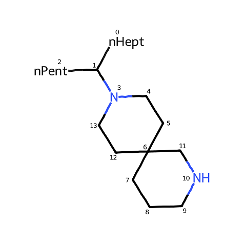 CCCCCCCC(CCCCC)N1CCC2(CCCNC2)CC1